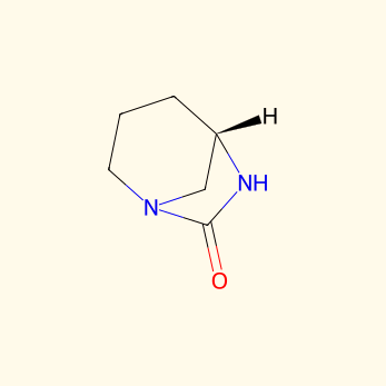 O=C1N[C@H]2CCCN1C2